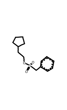 O=S(=O)(Cc1ccccc1)OCCC1CCCC1